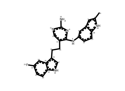 Cc1cc2cc(Nc3nc(N)ncc3CCc3c[nH]c4ccc(F)cc34)ccc2[nH]1